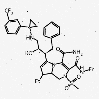 CCNC(=O)C1=C(C(N)=O)N2C([C@H](Cc3ccccc3)[C@@H](O)CNC3(c4cccc(C(F)(F)F)c4)CC3)=CC(CC)C2CN1S(C)(=O)=O